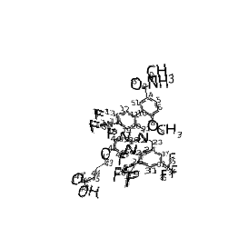 CNC(=O)c1ccc(OC)c(-c2ccc(C(F)(F)F)cc2CN(Cc2cc(C(F)(F)F)cc(C(F)(F)F)c2)c2ncc(OCCCC(=O)O)cn2)c1